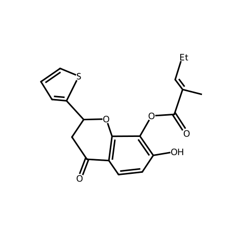 CCC=C(C)C(=O)Oc1c(O)ccc2c1OC(c1cccs1)CC2=O